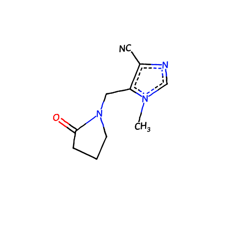 Cn1cnc(C#N)c1CN1CCCC1=O